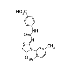 Cc1ccc(C(C)C)c(N2C(=O)CS/C2=N\C(=O)Nc2ccc(C(=O)O)cc2)c1